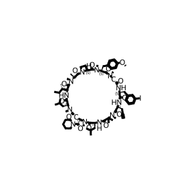 C#CC[C@@H]1NC(=O)[C@H](Cc2cccc(I)c2)NC(=O)CN(C)C(=O)[C@H](Cc2ccc(OC)cc2)N(C)C(=O)[C@@H]2CCN2C(=O)[C@H](C)N(C)C(=O)[C@H]([C@@H](C)CC)NC(=O)[C@H](CC(C)C)N(C)C(=O)C[C@@H](C(=O)N2CCCCC2)N(C)C(=O)[C@H](CC(C)C)NC(=O)C(C)(C)N(C)C1=O